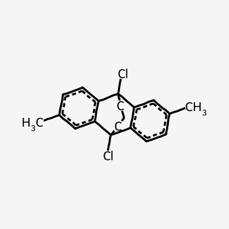 Cc1ccc2c(c1)C1(Cl)CCCC2(Cl)c2cc(C)ccc21